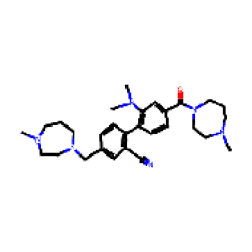 CN1CCCN(Cc2ccc(-c3ccc(C(=O)N4CCCN(C)CC4)cc3N(C)C)c(C#N)c2)CC1